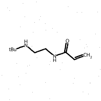 C=CC(=O)NCCNC(C)(C)C